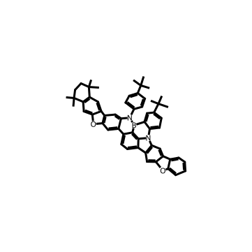 CC(C)(C)c1ccc(N2B3c4cc(C(C)(C)C)ccc4-n4c5cc6c(cc5c5ccc(c3c54)-c3cc4oc5cc7c(cc5c4cc32)C(C)(C)CCC7(C)C)oc2ccccc26)cc1